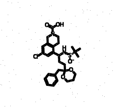 CC(C)(C)[S@+]([O-])NC(CCC1(Cc2ccccc2)OCCCO1)c1cc(Cl)cc2c1CCN(C(=O)O)C2